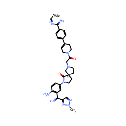 CN/C=N\C(=N)c1ccc(C2=CCN(C(=O)CN3CC[C@]4(CCN(c5ccc(N)c(C(=N)c6cnn(C)n6)c5)C4=O)C3)CC2)cc1